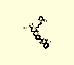 CN(C)CCN(Cc1ccc(C(=O)Nc2ccccc2N)nc1)C(=O)NCCCN1CCCC1=O